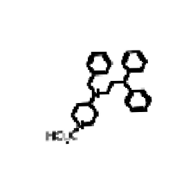 O=C(O)N1CCC(N(CCC(c2ccccc2)c2ccccc2)Cc2ccccc2)CC1